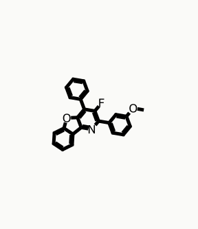 COc1cccc(-c2nc3c(oc4ccccc43)c(-c3ccccc3)c2F)c1